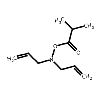 C=CCN(CC=C)OC(=O)C(C)C